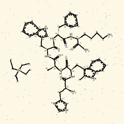 CC[N+](CC)(CC)CC.Cc1[nH]c2ccccc2c1C[C@@H](NC(=O)[C@@H](N)Cc1c[nH]cn1)C(=O)N[C@@H](C)C(=O)N[C@@H](Cc1c[nH]c2ccccc12)C(=O)N[C@H](Cc1ccccc1)C(=O)N[C@@H](CCCCN)C(N)=O